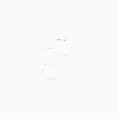 CCCCCc1ccc(-c2cnc(F)c(F)c2)c(F)c1